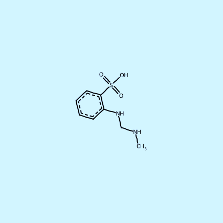 CNCNc1ccccc1S(=O)(=O)O